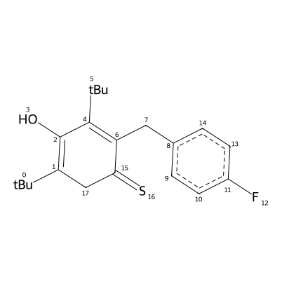 CC(C)(C)C1=C(O)C(C(C)(C)C)=C(Cc2ccc(F)cc2)C(=S)C1